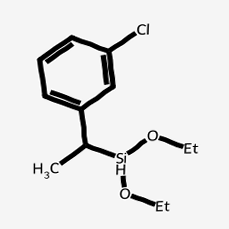 CCO[SiH](OCC)C(C)c1cccc(Cl)c1